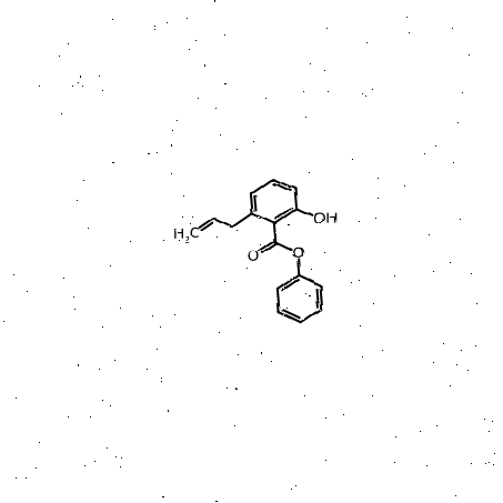 C=CCc1cccc(O)c1C(=O)Oc1ccccc1